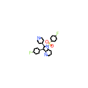 O=S(=O)(c1ccc(F)cc1)n1c(-c2ccncc2)c(-c2ccc(F)cc2)c2ncccc21